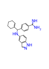 N=C(N)c1ccc(C(Nc2ccc3[nH]ncc3c2)C2=CCCCC2)cc1